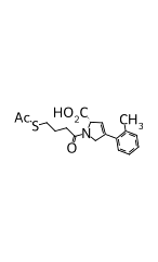 CC(=O)SCCCC(=O)N1CC(c2ccccc2C)=C[C@H]1C(=O)O